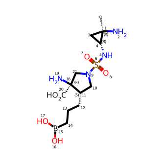 C[C@@]1(N)C[C@H]1NS(=O)(=O)N1C[C@H](CCCB(O)O)[C@](N)(C(=O)O)C1